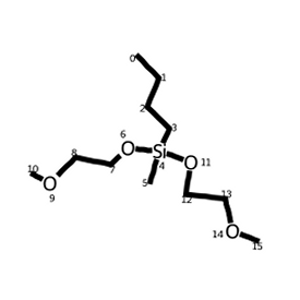 CCCC[Si](C)(OCCOC)OCCOC